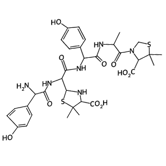 CC(NC(=O)C(NC(=O)C(NC(=O)C(N)c1ccc(O)cc1)C1NC(C(=O)O)C(C)(C)S1)c1ccc(O)cc1)C(=O)N1CSC(C)(C)C1C(=O)O